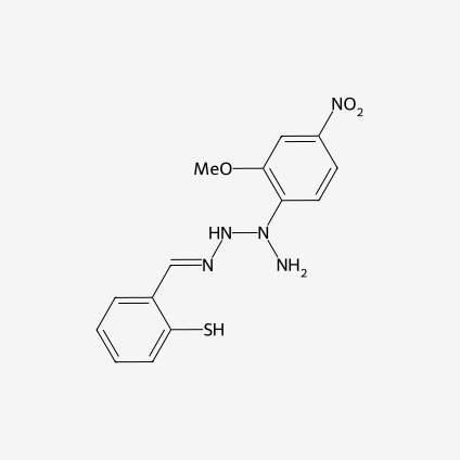 COc1cc([N+](=O)[O-])ccc1N(N)N/N=C/c1ccccc1S